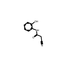 N#CCC(=O)Nc1ccccc1O